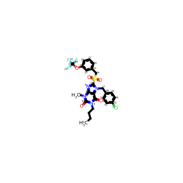 CCCCn1c(=O)c2c(nc(S(=O)(=O)Cc3cccc(OC(F)(F)F)c3)n2Cc2ccc(Cl)cc2)n(C)c1=O